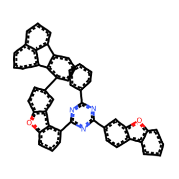 c1ccc(-c2nc(-c3ccc4c(c3)oc3ccccc34)nc(-c3cccc4oc5ccc(-c6cccc7c6-c6cccc8cccc-7c68)cc5c34)n2)cc1